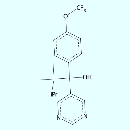 CC(C)C(C)(C)C(O)(c1ccc(OC(F)(F)F)cc1)c1cncnc1